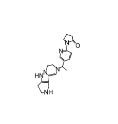 CC(c1ccc(N2CCCC2=O)nc1)N1C=C2C3=C(CCNC3)NN2CC1